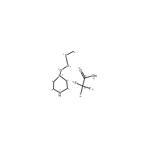 CSOON1CCNCC1.O=C(O)C(F)(F)F